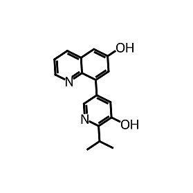 CC(C)c1ncc(-c2cc(O)cc3cccnc23)cc1O